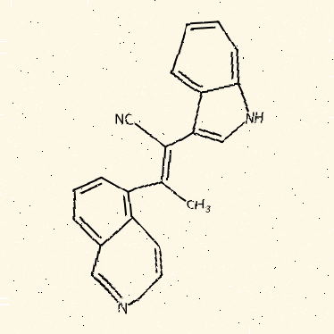 C/C(=C(/C#N)c1c[nH]c2ccccc12)c1cccc2cnccc12